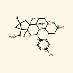 COC[C@@]12C[C@@H]1C[C@H]1[C@@H]3CCC4=CC(=O)CCC4=C3[C@@H](c3ccc(C(C)=O)cc3)C[C@@]12C